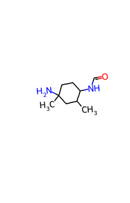 CC1CC(C)(N)CCC1NC=O